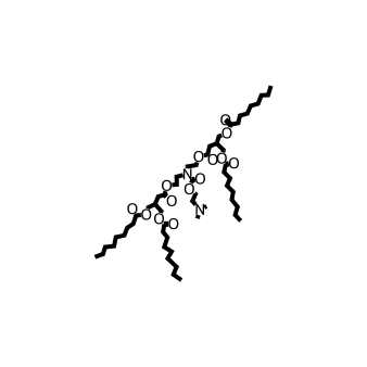 CCCCCCCCC(=O)OCC(COC(=O)CCCCCCCC)CC(=O)OCCN(CCOC(=O)CC(COC(=O)CCCCCCCC)COC(=O)CCCCCCCC)C(=O)OCCN(C)C